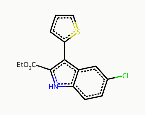 CCOC(=O)c1[nH]c2ccc(Cl)cc2c1-c1cccs1